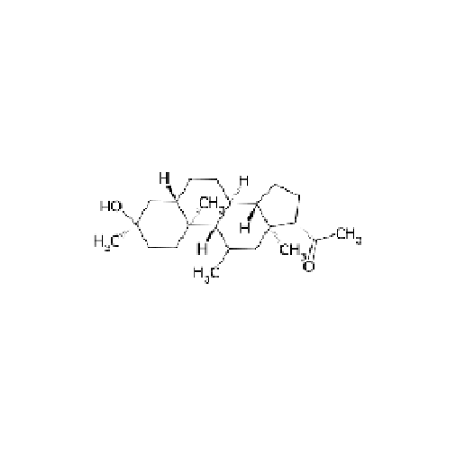 CC(=O)[C@H]1CC[C@H]2[C@@H]3CC[C@H]4C[C@](C)(O)CC[C@]4(C)[C@H]3C(C)C[C@]12C